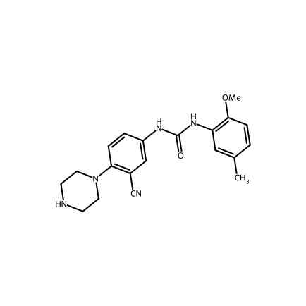 COc1ccc(C)cc1NC(=O)Nc1ccc(N2CCNCC2)c(C#N)c1